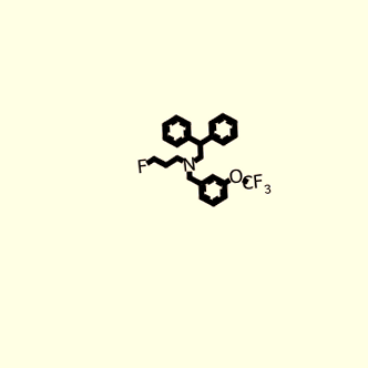 FCCCN(Cc1cccc(OC(F)(F)F)c1)CC(c1ccccc1)c1ccccc1